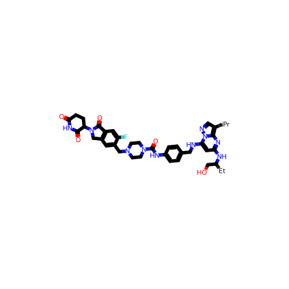 CCC(CO)Nc1cc(NCc2ccc(NC(=O)N3CCN(Cc4cc5c(cc4F)C(=O)N(C4CCC(=O)NC4=O)C5)CC3)cc2)n2ncc(C(C)C)c2n1